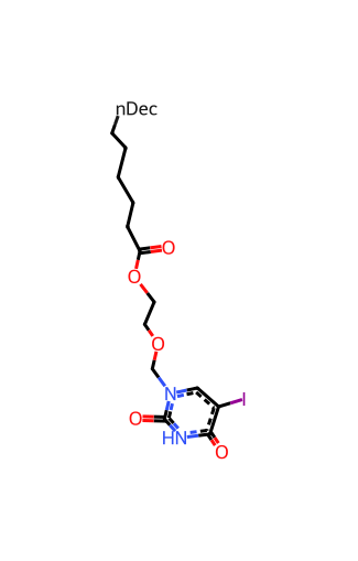 CCCCCCCCCCCCCCCC(=O)OCCOCn1cc(I)c(=O)[nH]c1=O